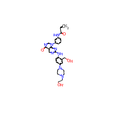 C=CC(=O)Nc1cccc(-n2cnc(=O)c3cnc(Nc4ccc(N5CCN(CCO)CC5)cc4CO)nc32)c1